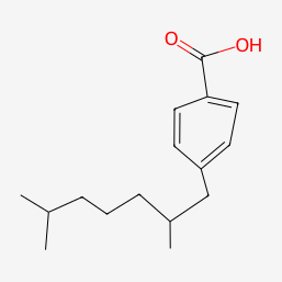 CC(C)CCCC(C)Cc1ccc(C(=O)O)cc1